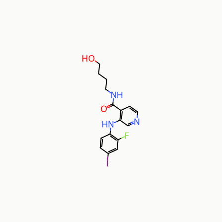 O=C(NCCCCO)c1ccncc1Nc1ccc(I)cc1F